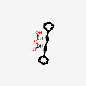 C(C#Cc1ccccc1)#Cc1ccccc1.OBOBO